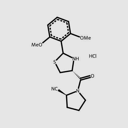 COc1cccc(OC)c1C1N[C@H](C(=O)N2CCC[C@H]2C#N)CS1.Cl